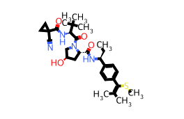 CC[C@H](NC(=O)[C@@H]1C[C@@H](O)CN1C(=O)[C@@H](NC(=O)C1(C#N)CC1)C(C)(C)C)c1ccc(C(SC)=C(C)C)cc1